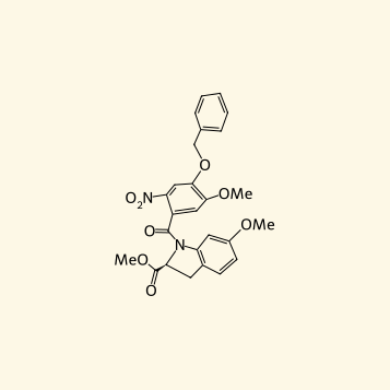 COC(=O)[C@@H]1Cc2ccc(OC)cc2N1C(=O)c1cc(OC)c(OCc2ccccc2)cc1[N+](=O)[O-]